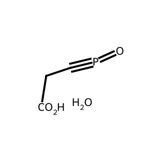 O.O=P#CCC(=O)O